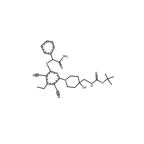 CCc1c(C#N)c(SC(C(N)=O)c2ccccc2)nc(N2CCC(O)(CNC(=O)OC(C)(C)C)CC2)c1C#N